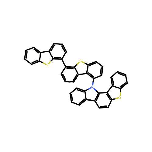 c1ccc2c(c1)sc1c(-c3cccc4c3sc3cccc(-n5c6ccccc6c6ccc7sc8ccccc8c7c65)c34)cccc12